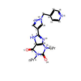 CCCn1c(=O)c2[nH]c(-c3cnn(Cc4ccncc4)c3)nc2n(CCC)c1=O